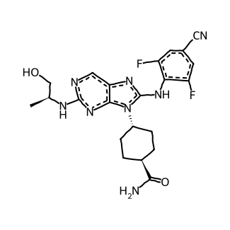 C[C@@H](CO)Nc1ncc2nc(Nc3c(F)cc(C#N)cc3F)n([C@H]3CC[C@H](C(N)=O)CC3)c2n1